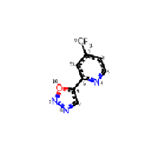 FC(F)(F)c1ccnc(-c2cnno2)c1